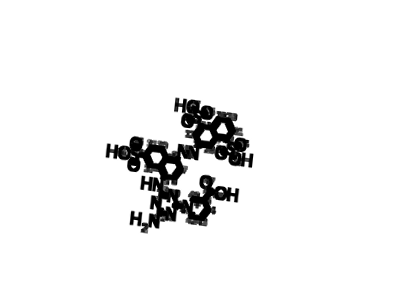 Nc1nc(Nc2ccc(N=Nc3cc(S(=O)(=O)O)c4cccc(S(=O)(=O)O)c4c3)c3ccc(S(=O)(=O)O)cc23)nc(-[n+]2cccc(C(=O)O)c2)n1